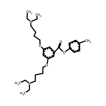 CCN(CC)CCCCOc1cc(OCCCCN(CC)CC)cc(C(=O)Oc2ccc(C)cc2)c1